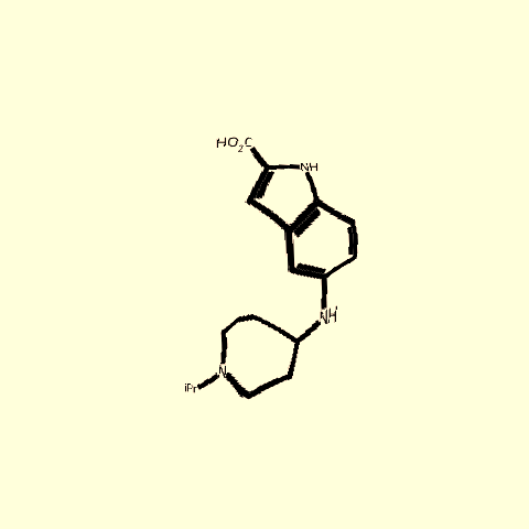 CC(C)N1CCC(Nc2ccc3[nH]c(C(=O)O)cc3c2)CC1